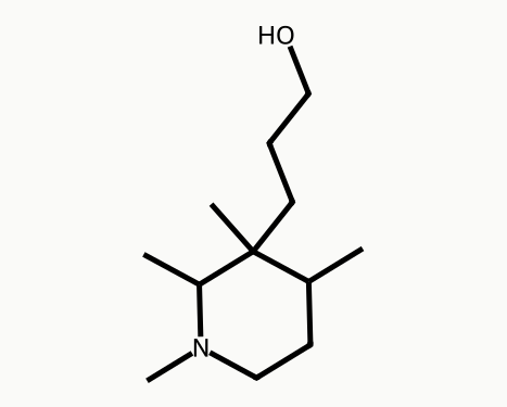 CC1CCN(C)C(C)C1(C)CCCO